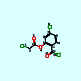 O=C(CCl)Oc1cc(Cl)ccc1C(=O)Cl